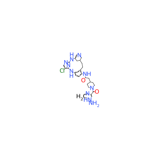 C=N/C(=C\NN)C(=O)N1CCC(CC(=O)Nc2ccc3cc2CCC2C=NC=C(C2)Nc2ncc(Cl)c(n2)N3)CC1